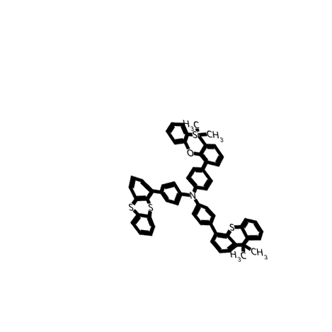 CC1(C)c2ccccc2Sc2c(-c3ccc(N(c4ccc(-c5cccc6c5Oc5ccccc5[Si]6(C)C)cc4)c4ccc(-c5cccc6c5Sc5ccccc5S6)cc4)cc3)cccc21